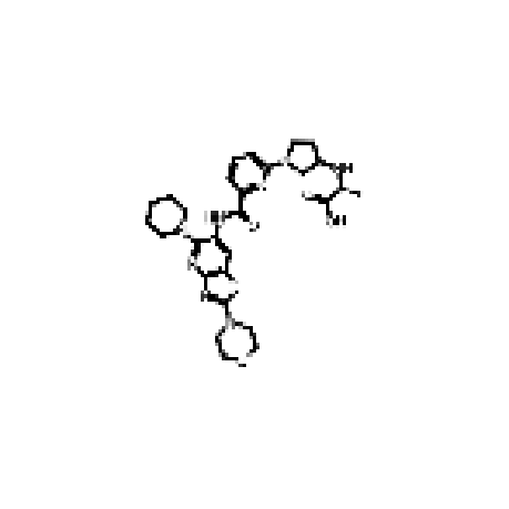 C[C@H](NC1CCN(c2cccc(C(=O)Nc3cc4sc(N5CCOCC5)nc4nc3N3CCCCC3)n2)C1)C(=O)O